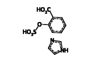 O=C(O)c1ccccc1OS(=O)(=O)O.c1c[nH]cn1